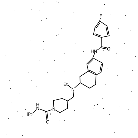 CCN(CC1CCN(C(=O)NC(C)C)CC1)C1CCc2ccc(NC(=O)c3ccc(F)cc3)cc2C1